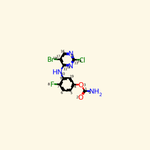 NC(=O)Oc1ccc(F)c(Nc2nc(Cl)ncc2Br)c1